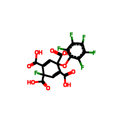 O=C(O)C1=CC(Oc2c(F)c(F)c(F)c(F)c2F)(C(=O)O)C(C(=O)O)=CC1(F)C(=O)O